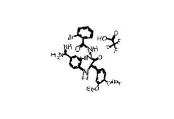 CCOc1cc(C(Nc2ccc(C(=N)N)cc2)C(=O)NNC(=O)c2ccccc2Br)ccc1OC(C)C.O=C(O)C(F)(F)F